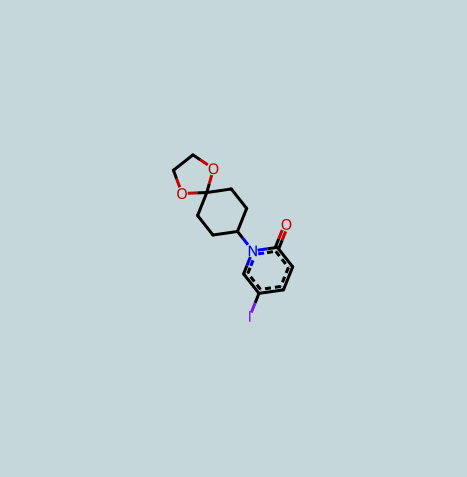 O=c1ccc(I)cn1C1CCC2(CC1)OCCO2